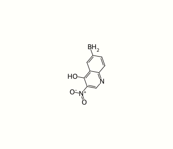 Bc1ccc2ncc([N+](=O)[O-])c(O)c2c1